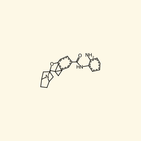 CC1(CN2C3CCC2CC(Oc2ccc(C(=O)Nc4ccccc4N)cc2)C3)CC1